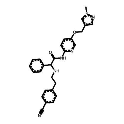 Cn1cc(COc2ccc(NC(=O)C(NCCc3ccc(C#N)cc3)c3ccccc3)nc2)cn1